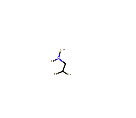 CCCN(CC)CC(CC)CC